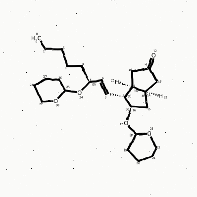 CCCCC[C@@H](C=C[C@@H]1[C@H]2CC(=O)C[C@H]2C[C@H]1OC1CCCCO1)OC1CCCCO1